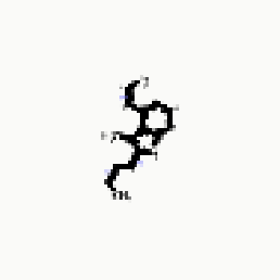 C=c1/c(=C\C=C/C)oc2cccc(/C=C\CC)c12